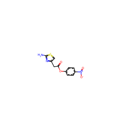 Nc1nc(CC(=O)Oc2ccc([N+](=O)[O-])cc2)cs1